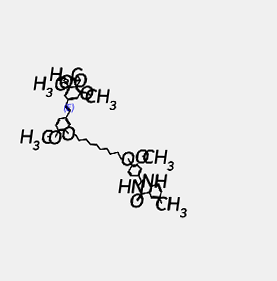 COc1cc(C2NC(=O)c3cc(C)ccc3N2)ccc1OCCCCCCCCCCOc1cc(/C=C/c2cc(OC)c(OC)c(OC)c2)ccc1OC